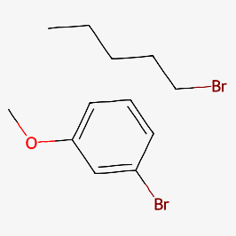 CCCCCBr.COc1cccc(Br)c1